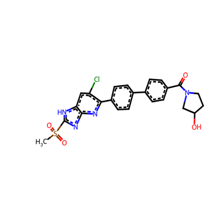 CS(=O)(=O)c1nc2nc(-c3ccc(-c4ccc(C(=O)N5CCC(O)C5)cc4)cc3)c(Cl)cc2[nH]1